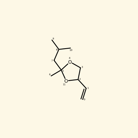 C=CC1COC(C)(CC(C)C)O1